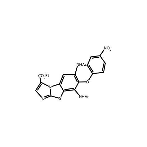 CCOC(=O)c1cnc2sc3c(NC(C)=O)c(Oc4ccc([N+](=O)[O-])cc4)c(NC(C)=O)cc3n12